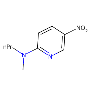 CCCN(C)c1ccc([N+](=O)[O-])cn1